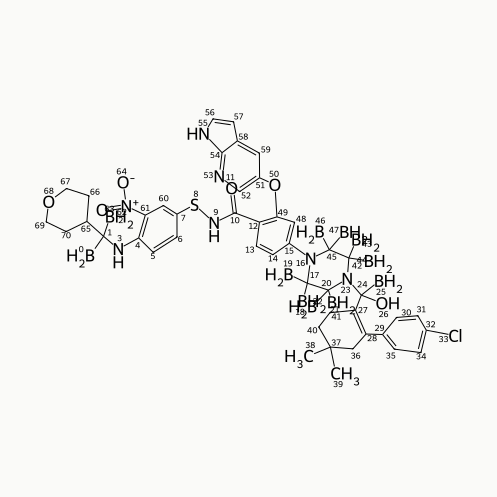 BC(B)(Nc1ccc(SNC(=O)c2ccc(N3C(B)(B)C(B)(B)N(C(B)(O)C4=C(c5ccc(Cl)cc5)CC(C)(C)CC4)C(B)(B)C3(B)B)cc2Oc2cnc3[nH]ccc3c2)cc1[N+](=O)[O-])C1CCOCC1